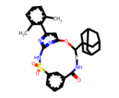 Cc1cccc(C)c1-c1cc2nc(n1)NS(=O)(=O)c1cccc(c1)C(=O)NCC(C13CC4CC(CC(C4)C1)C3)O2